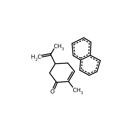 C=C(C)C1CC=C(C)C(=O)C1.c1ccc2ccccc2c1